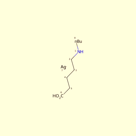 CCCCNCCCCC(=O)O.[Ag]